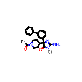 CCC(=O)N1CCC(C2(c3cccc(-c4ccccc4)c3)N=C(N)N(C)C2=O)CC1